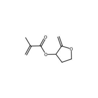 C=C(C)C(=O)OC1CCOC1=C